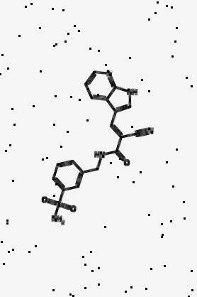 N#C/C(=C\c1c[nH]c2ncccc12)C(=O)NCc1cccc(S(N)(=O)=O)c1